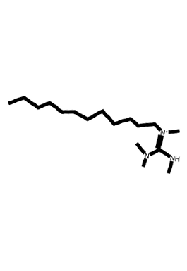 CCCCCCCCCCCC[N+](C)=C(NC)N(C)C